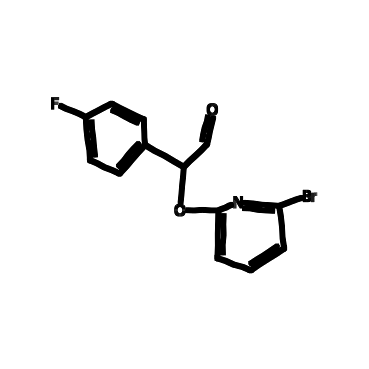 O=CC(Oc1cccc(Br)n1)c1ccc(F)cc1